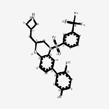 O=S(=O)(c1cccc(C(F)(F)F)c1)N1CC(CC2CNC2)Oc2ccc(-c3cc(F)ccc3F)cc21